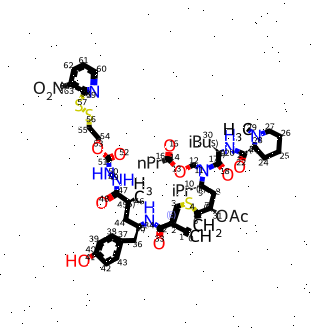 C#C/C(=C\SC(=C)[C@@H](C[C@H](C(C)C)N(COC(=O)CCC)C(=O)[C@@H](NC(=O)[C@H]1CCCCN1C)[C@@H](C)CC)OC(C)=O)C(=O)N[C@@H](Cc1ccc(O)cc1)C[C@H](C)C(=O)NNC(=O)OCCSSc1ncccc1[N+](=O)[O-]